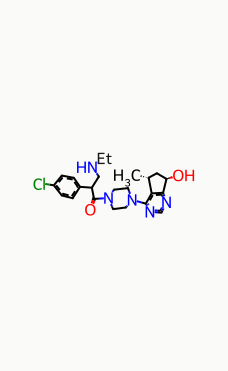 CCNCC(C(=O)N1CCN(c2ncnc3c2[C@H](C)C[C@H]3O)CC1)c1ccc(Cl)cc1